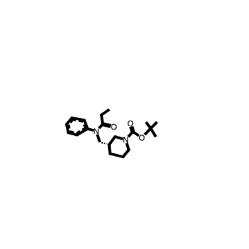 CCC(=O)N(C[C@H]1CCCN(C(=O)OC(C)(C)C)C1)c1ccccc1